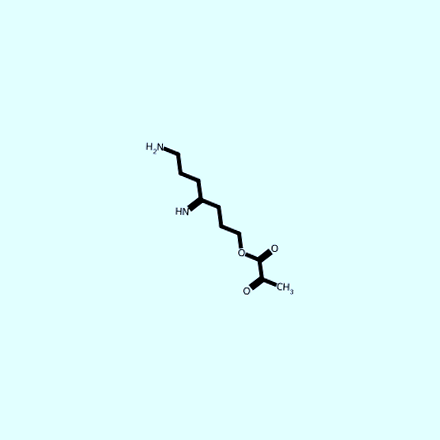 CC(=O)C(=O)OCCCC(=N)CCCN